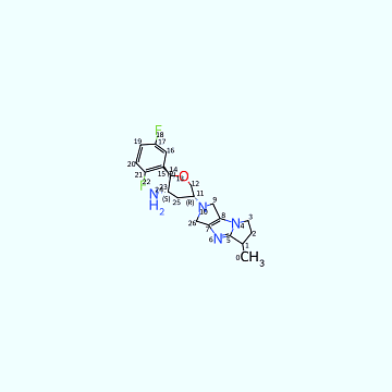 CC1CCn2c1nc1c2CN([C@H]2CO[C@H](c3cc(F)ccc3F)[C@@H](N)C2)C1